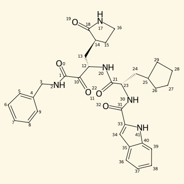 O=C(NCc1ccccc1)C(=O)[C@H](C[C@@H]1CCNC1=O)NC(=O)[C@H](CC1CCCC1)NC(=O)c1cc2ccccc2[nH]1